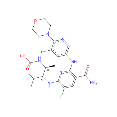 CC(C)[C@@H](Nc1nc(Nc2cnc(N3CCOCC3)c(F)c2)c(C(N)=O)cc1F)[C@H](C)NC(=O)O